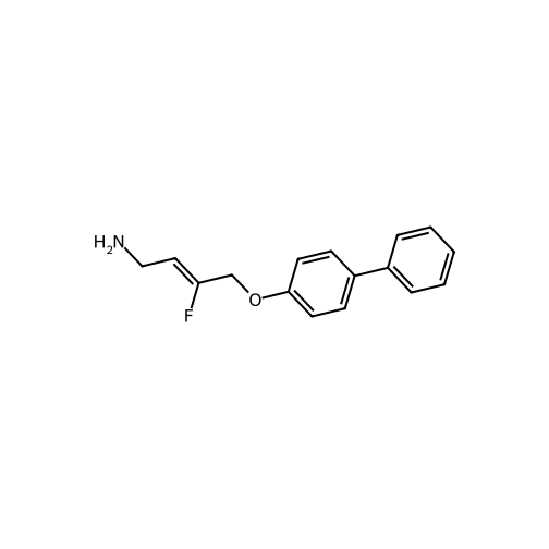 NCC=C(F)COc1ccc(-c2ccccc2)cc1